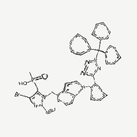 CCCCc1nc(Br)c(P(C)(=O)O)n1Cc1cccc2c1ccn2-c1ccccc1-c1nnn(C(c2ccccc2)(c2ccccc2)c2ccccc2)n1